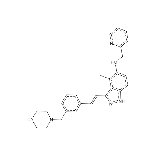 Cc1c(NCc2ccccn2)ccc2[nH]nc(/C=C/c3cccc(CN4CCNCC4)c3)c12